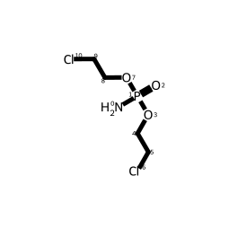 NP(=O)(OCCCl)OCCCl